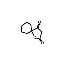 O=C1CC(=O)C2(CCCCC2)O1